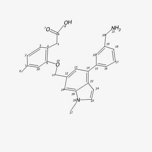 Cc1ccc(CC(=O)O)c(OCc2cc(-c3cccc(CN)c3)c3ccn(C)c3c2)c1